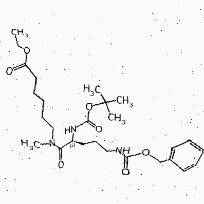 CCOC(=O)CCCCCN(C)C(=O)[C@H](CCCNC(=O)OCc1ccccc1)NC(=O)OC(C)(C)C